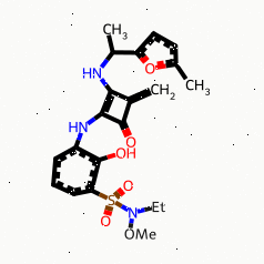 C=C1C(=O)C(Nc2cccc(S(=O)(=O)N(CC)OC)c2O)=C1NC(C)c1ccc(C)o1